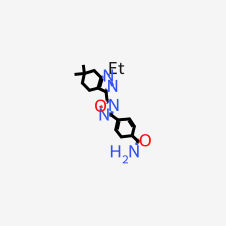 CCn1nc(-c2nc(C3=CCC(C(N)=O)C=C3)no2)c2c1CC(C)(C)CC2